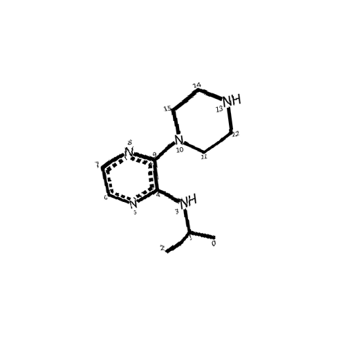 CC(C)Nc1nccnc1N1CCNCC1